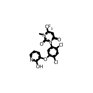 Cn1c(C(F)(F)F)cc(=O)n(-c2cc(Oc3cccnc3O)c(Cl)cc2Cl)c1=O